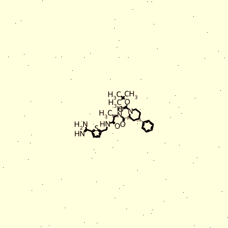 C[C@H](NC(=O)[C@H]1C[C@@H](c2ccccc2)CCN1C(=O)OC(C)(C)C)C(=O)NCc1ccc(C(=N)N)s1